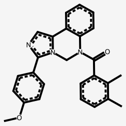 COc1ccc(-c2ncc3n2CN(C(=O)c2cccc(C)c2C)c2ccccc2-3)cc1